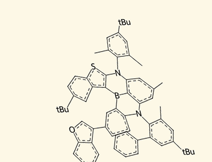 Cc1cc2c3c(c1)N(c1c(C)cc(C(C)(C)C)cc1C)c1sc4ccc(C(C)(C)C)cc4c1B3c1cc(-c3coc4ccccc34)ccc1N2c1c(C)cc(C(C)(C)C)cc1-c1ccccc1